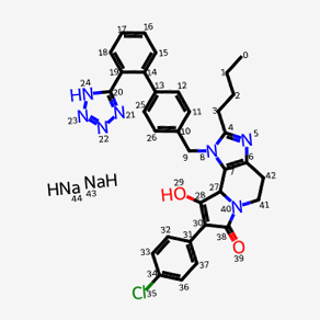 CCCCc1nc2c(n1Cc1ccc(-c3ccccc3-c3nnn[nH]3)cc1)C1C(O)=C(c3ccc(Cl)cc3)C(=O)N1CC2.[NaH].[NaH]